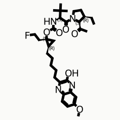 CC[C@@H]1CCN(C(=O)[C@@H](NC(=O)O[C@]2(CCF)C[C@H]2CCCCCc2nc3ccc(OC)cc3nc2O)C(C)(C)C)[C@@H]1C(C)=O